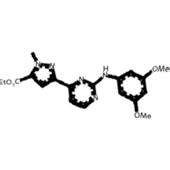 CCOC(=O)c1cc(-c2ccnc(Nc3cc(OC)cc(OC)c3)n2)nn1C